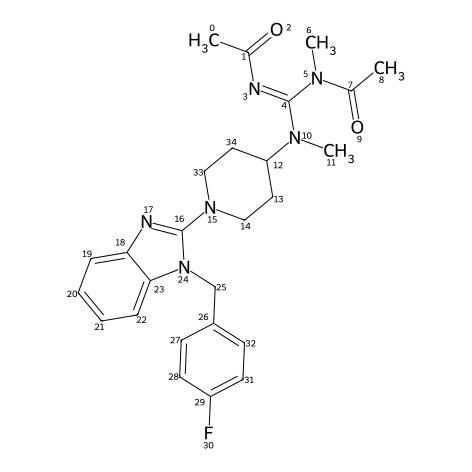 CC(=O)/N=C(\N(C)C(C)=O)N(C)C1CCN(c2nc3ccccc3n2Cc2ccc(F)cc2)CC1